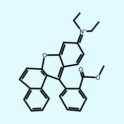 CC[N+](CC)=c1ccc2c(-c3ccccc3C(=O)OC)c3c(ccc4ccccc43)oc-2c1